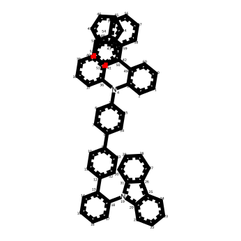 c1ccc(N(c2ccc(-c3ccc(-c4ccccc4-n4c5ccccc5c5ccccc54)cc3)cc2)c2cccc3c2oc2ccccc23)c(-c2cccc3ccccc23)c1